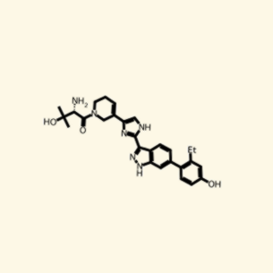 CCc1cc(O)ccc1-c1ccc2c(-c3nc(C4=CCCN(C(=O)[C@@H](N)C(C)(C)O)C4)c[nH]3)n[nH]c2c1